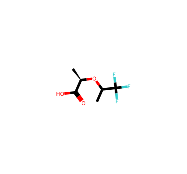 CC(O[C@H](C)C(=O)O)C(F)(F)F